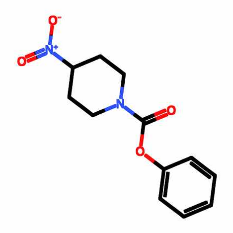 O=C(Oc1ccccc1)N1CCC([N+](=O)[O-])CC1